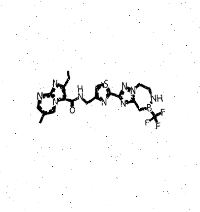 CCc1nc2ncc(C)cn2c1C(=O)NCc1csc(-c2nc3n(n2)CCNB(C(F)(F)F)C3)n1